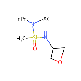 CCCN(C(C)=O)[SH](C)(=O)NC1COC1